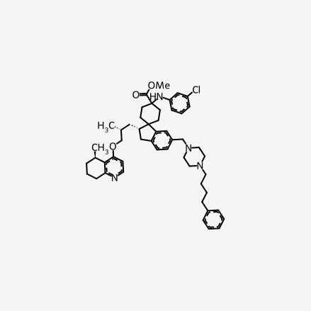 COC(=O)C1(Nc2cccc(Cl)c2)CCC2(CC1)c1cc(CN3CCN(CCCCc4ccccc4)CC3)ccc1C[C@@H]2C[C@@H](C)COc1ccnc2c1[C@H](C)CCC2